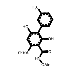 CCCCCc1cc(O)c(-c2cccc(C)c2)c(O)c1C(=O)NOC